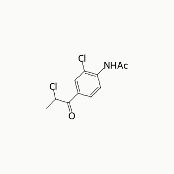 CC(=O)Nc1ccc(C(=O)C(C)Cl)cc1Cl